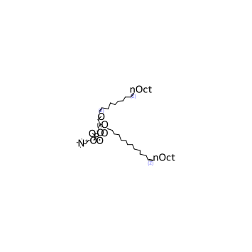 CCCCCCCC/C=C\CCCCCC/C=C\OC[C@H](COP(=O)([O-])OCC[N+](C)(C)C)OC(=O)CCCCCCCCCCC/C=C\CCCCCCCC